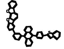 c1cc(-c2ccc3oc4c(ccc5c6ccccc6oc54)c3c2)cc(-c2c3ccccc3c(-c3ccc(-c4cc5ccccc5s4)cc3)c3ccccc23)c1